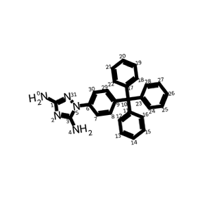 Nc1nc(N)n(-c2ccc(C(c3ccccc3)(c3ccccc3)c3ccccc3)cc2)n1